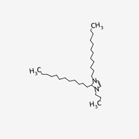 CCCCCCCCCCCCC1N(CCC)C=CN1CCCCCCCCCCCC